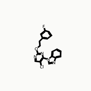 Fc1cccc(CCOc2ncc(Cl)c(-n3cnc4ccccc43)n2)c1